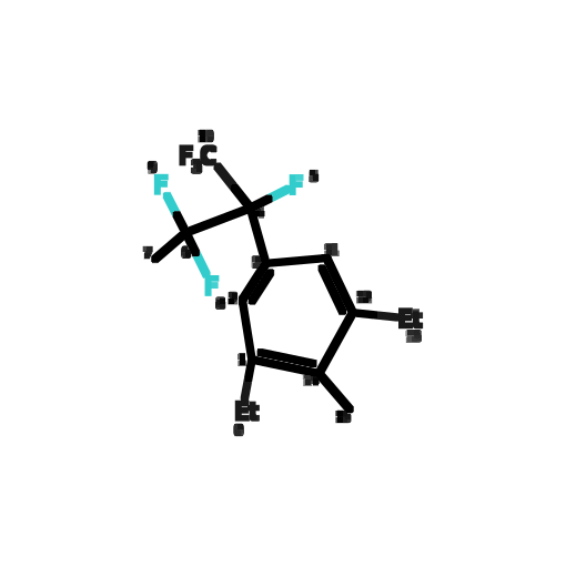 CCc1cc(C(F)(C(C)(F)F)C(F)(F)F)cc(CC)c1C